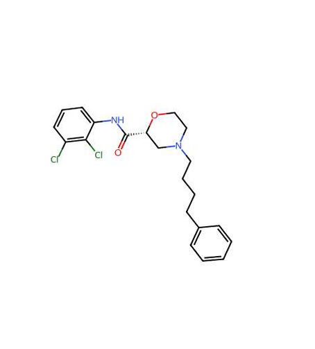 O=C(Nc1cccc(Cl)c1Cl)[C@H]1CN(CCCCc2ccccc2)CCO1